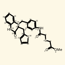 COC(=O)CSCC(=O)Nc1ccc(CN2c3ccccc3NC(=O)C2Cc2cccs2)cc1